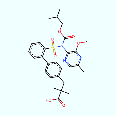 COc1nc(C)cnc1N(C(=O)OCC(C)C)S(=O)(=O)c1ccccc1-c1ccc(CC(C)(C)C(=O)O)cc1